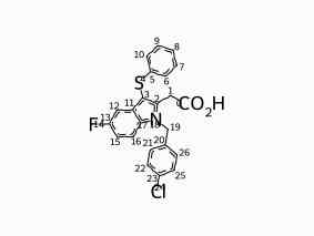 O=C(O)Cc1c(Sc2ccccc2)c2cc(F)ccc2n1Cc1ccc(Cl)cc1